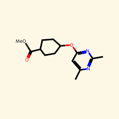 COC(=O)C1CCC(Oc2cc(C)nc(C)n2)CC1